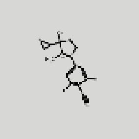 C[C@@H]1N(c2cc(F)c(C#N)c(F)c2)CC[C@@]1(O)C1CC1